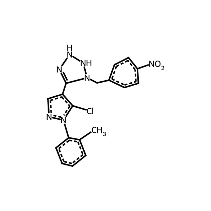 Cc1ccccc1-n1ncc(C2=NNNN2Cc2ccc([N+](=O)[O-])cc2)c1Cl